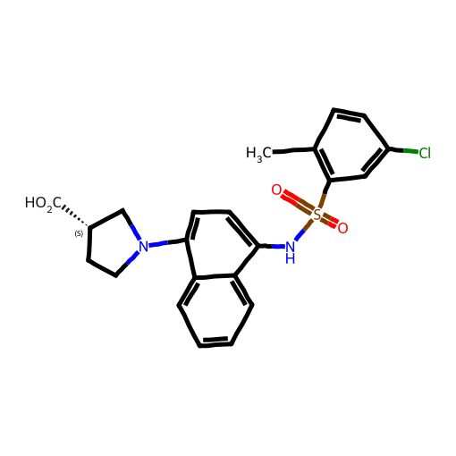 Cc1ccc(Cl)cc1S(=O)(=O)Nc1ccc(N2CC[C@H](C(=O)O)C2)c2ccccc12